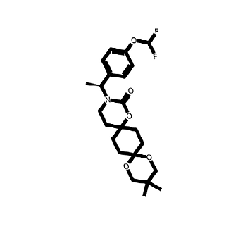 C[C@@H](c1ccc(OC(F)F)cc1)N1CCC2(CCC3(CC2)OCC(C)(C)CO3)OC1=O